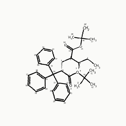 CCC(F)C(C[C@H](C(=O)OC(C)(C)C)C(c1ccccc1)(c1ccccc1)c1ccccc1)C(=O)OC(C)(C)C